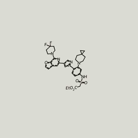 CCOC(=O)CS(=O)(=O)Nc1ccc(-n2cc(-c3cc4ccoc4c(N4CCC(F)(F)CC4)n3)cn2)c(N2CCC3(CC2)CC3)c1